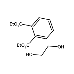 CCOC(=O)c1ccccc1C(=O)OCC.OCCO